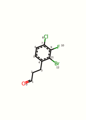 O=CCCc1ccc(Cl)c(F)c1Br